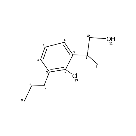 CCCc1cccc([C](C)CO)c1Cl